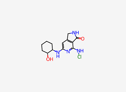 O=C1NCc2cc(N[C@@H]3CCCC[C@@H]3O)nc(NCl)c21